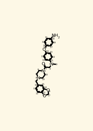 CN(CC(=O)N1CCN(Cc2ccc3c(c2)OCO3)CC1)c1ccc(Oc2ccc(N)cc2)cc1